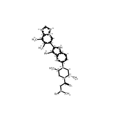 CCN(C)CC(=O)N1C[C@@H](C)N(c2ccc3[nH]c(-c4cn5ncnc5c(C)c4C)c(C(C)C)c3n2)C[C@@H]1C